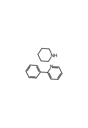 C1CCNCC1.c1ccc(-c2ccccn2)cc1